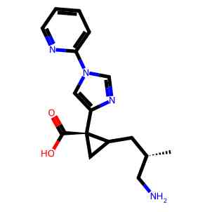 C[C@H](CN)CC1C[C@]1(C(=O)O)c1cn(-c2ccccn2)cn1